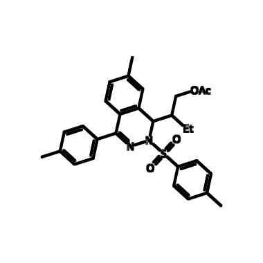 CCC(COC(C)=O)C1c2cc(C)ccc2C(c2ccc(C)cc2)=NN1S(=O)(=O)c1ccc(C)cc1